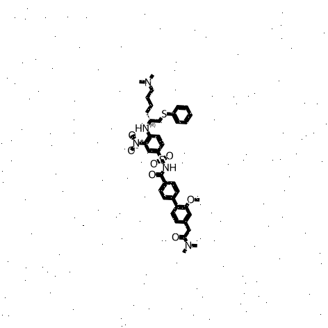 COc1cc(CC(=O)N(C)C)ccc1-c1ccc(C(=O)NS(=O)(=O)c2ccc(N[C@H](CCCCN(C)C)CSc3ccccc3)c([N+](=O)[O-])c2)cc1